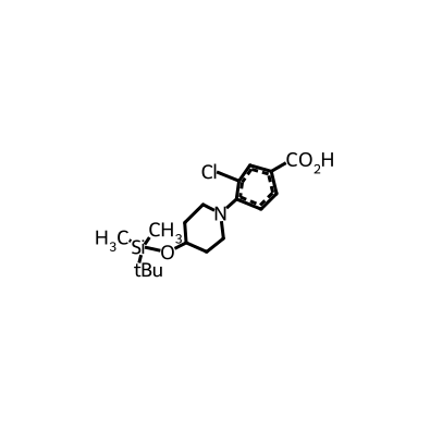 CC(C)(C)[Si](C)(C)OC1CCN(c2ccc(C(=O)O)cc2Cl)CC1